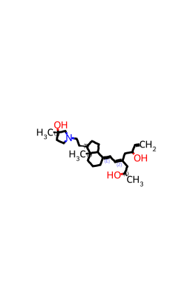 C=CC(O)C/C(=C\C=C1/CCC[C@@]2(C)C1CC[C@@H]2CCN1CC[C@](C)(O)C1)C[C@H](C)O